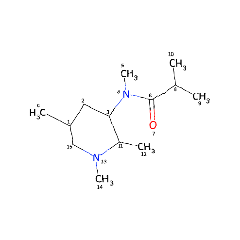 CC1CC(N(C)C(=O)C(C)C)C(C)N(C)C1